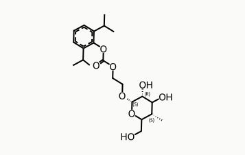 CC(C)c1cccc(C(C)C)c1OC(=O)OCCO[C@H]1OC(CO)[C@@H](C)C(O)[C@H]1O